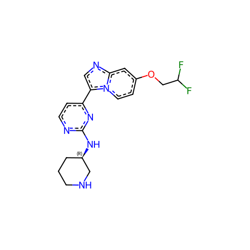 FC(F)COc1ccn2c(-c3ccnc(N[C@@H]4CCCNC4)n3)cnc2c1